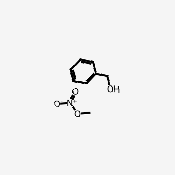 CO[N+](=O)[O-].OCc1ccccc1